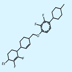 CCC1CCC(C2C=CC(COc3ccc(C4CCC(C)CC4)c(F)c3F)CC2)C(F)=C1F